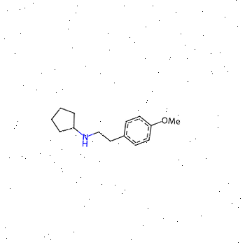 COc1ccc(CCNC2CCCC2)cc1